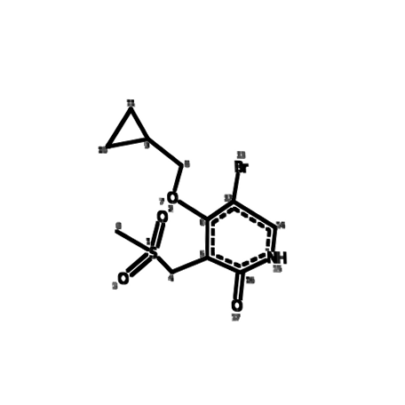 CS(=O)(=O)Cc1c(OCC2CC2)c(Br)c[nH]c1=O